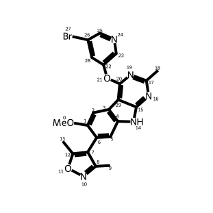 COc1cc2c(cc1-c1c(C)noc1C)[nH]c1nc(C)nc(Oc3cncc(Br)c3)c12